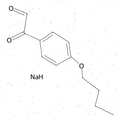 CCCCOc1ccc(C(=O)C=O)cc1.[NaH]